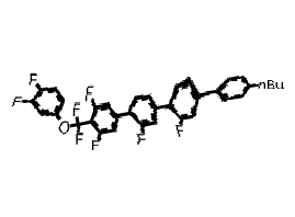 CCCCc1ccc(-c2ccc(-c3ccc(-c4cc(F)c(C(F)(F)Oc5ccc(F)c(F)c5)c(F)c4)c(F)c3)c(F)c2)cc1